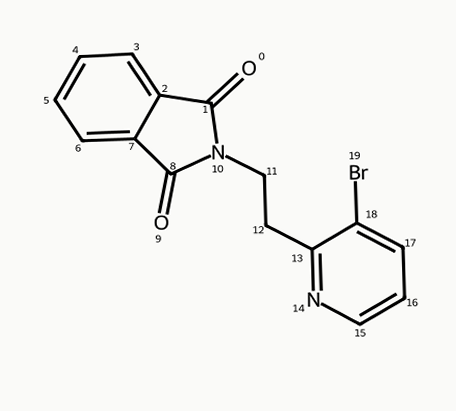 O=C1c2ccccc2C(=O)N1CCc1ncccc1Br